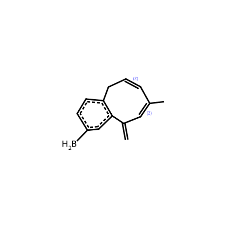 Bc1ccc2c(c1)C(=C)/C=C(C)\C=C/C2